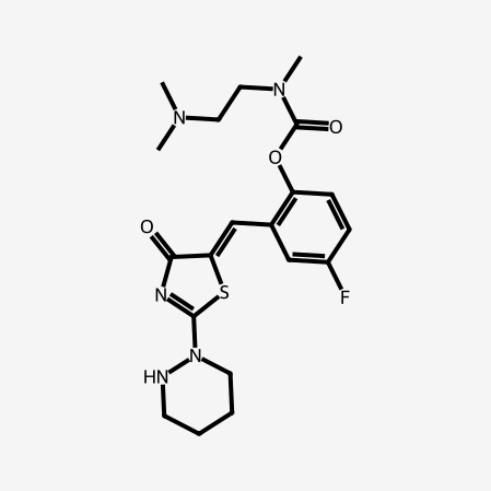 CN(C)CCN(C)C(=O)Oc1ccc(F)cc1/C=C1\SC(N2CCCCN2)=NC1=O